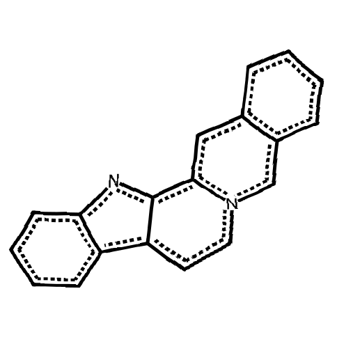 c1ccc2cn3ccc4c5ccccc5nc-4c3cc2c1